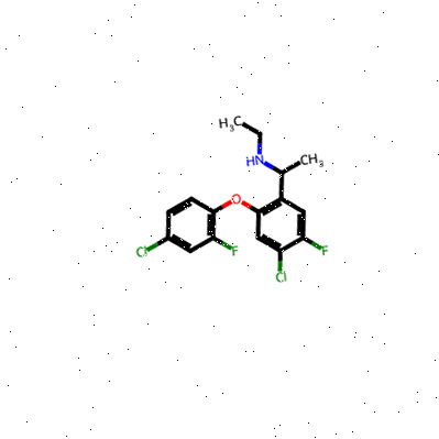 CCNC(C)c1cc(F)c(Cl)cc1Oc1ccc(Cl)cc1F